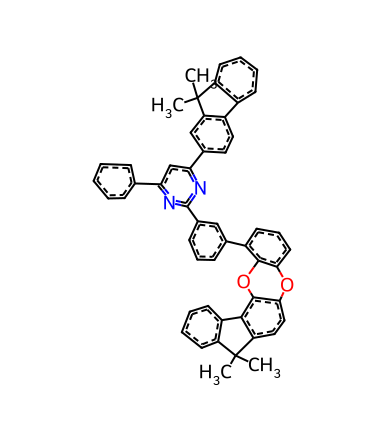 CC1(C)c2ccccc2-c2ccc(-c3cc(-c4ccccc4)nc(-c4cccc(-c5cccc6c5Oc5c(ccc7c5-c5ccccc5C7(C)C)O6)c4)n3)cc21